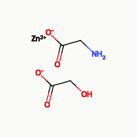 NCC(=O)[O-].O=C([O-])CO.[Zn+2]